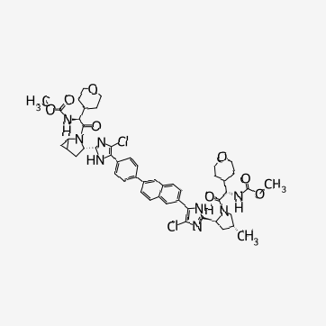 COC(=O)N[C@H](C(=O)N1C[C@H](C)C[C@H]1c1nc(Cl)c(-c2ccc3cc(-c4ccc(-c5[nH]c([C@@H]6CC7CC7N6C(=O)[C@@H](NC(=O)OC)C6CCOCC6)nc5Cl)cc4)ccc3c2)[nH]1)C1CCOCC1